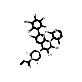 C=CC(=O)N1[C@H](C)CN(C2=C(C#N)C(O)N(c3c(C)ccnc3C(C)C)c3nc(-c4c(F)c(Cl)c(Cl)c(O)c4Cl)c(Cl)cc32)C[C@@H]1C